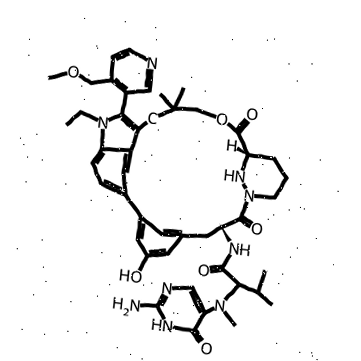 CCn1c(-c2cnccc2COC)c2c3cc(ccc31)-c1cc(O)cc(c1)C[C@H](NC(=O)C(C(C)C)N(C)c1cnc(N)[nH]c1=O)C(=O)N1CCC[C@H](N1)C(=O)OCC(C)(C)C2